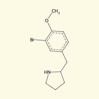 COc1ccc(CC2CCCN2)cc1Br